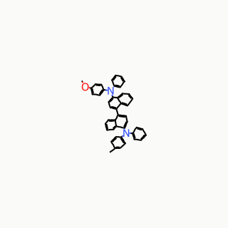 COc1ccc(N(c2ccccc2)c2ccc(-c3ccc(N(c4ccccc4)c4ccc(C)cc4)c4ccccc34)c3ccccc23)cc1